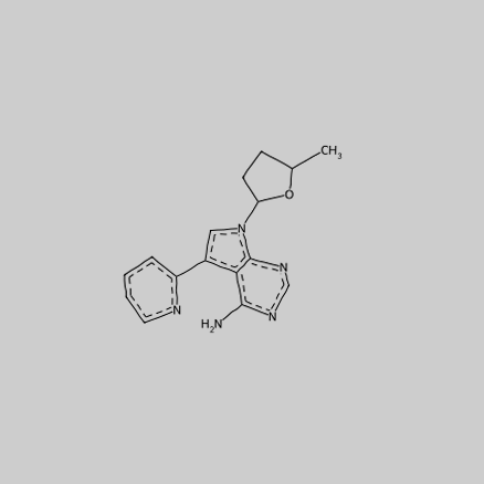 CC1CCC(n2cc(-c3ccccn3)c3c(N)ncnc32)O1